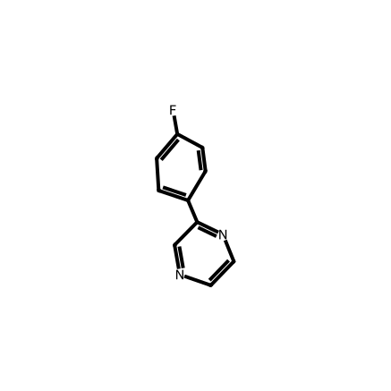 Fc1ccc(-c2cnccn2)cc1